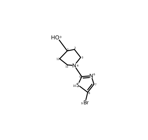 OC1CCN(c2ncc(Br)s2)CC1